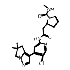 CNC(=O)N1CCCC1CC(=O)Nc1cc(-c2cnn3c2CC(C)(C)C3)c(Cl)cn1